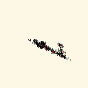 CC(C)C(NC(=O)CCCCCN1C(=O)C=CC1=O)C(=O)N[C@@H](CCCCNC(N)=O)C(=O)Nc1ccc(COC(=O)NCCCNc2ncnc3c2ncn3[C@@H]2O[C@@H]3CO[P@@](=O)(S)O[C@@H]4C(CO[P@@](=O)(S)O[C@H]3[C@H]2F)O[C@@H](n2cnc3c(N)ncnc32)[C@@H]4F)cc1